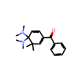 CN(C)C1(N(C)C)C=CC(C(=O)c2ccccc2)=CC1(C)C